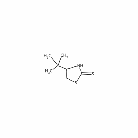 CC(C)(C)C1CSC(=S)N1